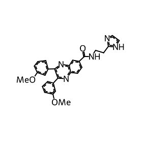 COc1cccc(-c2nc3ccc(C(=O)NCCc4ncc[nH]4)cc3nc2-c2cccc(OC)c2)c1